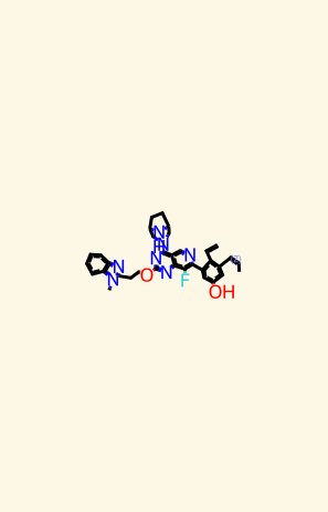 C=Cc1c(/C=C\C)cc(O)cc1-c1ncc2c(N3CC4CCC(C3)N4)nc(OCCc3nc4ccccc4n3C)nc2c1F